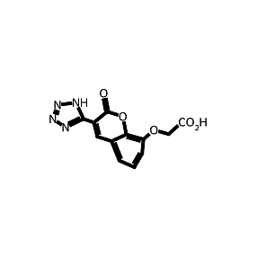 O=C(O)COc1cccc2cc(-c3nnn[nH]3)c(=O)oc12